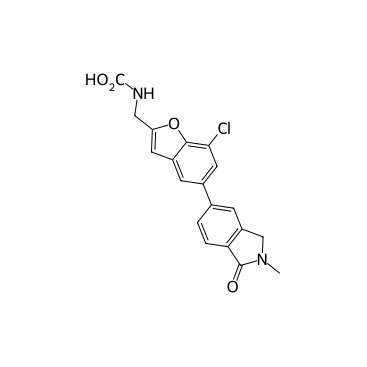 CN1Cc2cc(-c3cc(Cl)c4oc(CNC(=O)O)cc4c3)ccc2C1=O